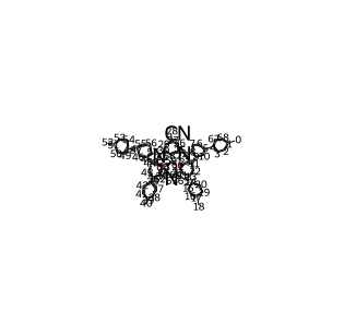 Cc1ccc(-c2ccc3c(c2)c2cc(-c4ccc(C)cc4)ccc2n3-c2cc(C#N)cc(-n3c4ccc(-c5ccc(C)cc5)cc4c4cc(-c5ccc(C)cc5)ccc43)c2-c2cc(C)nc(C)c2)cc1